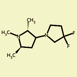 C[C@@H]1CC(N2CCC(F)(F)C2)[C@@H](C)N1C